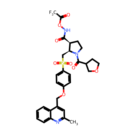 Cc1cc(COc2ccc(S(=O)(=O)C[C@H]3[C@@H](C(=O)NOC(=O)C(F)(F)F)CCN3C(=O)C3CCOC3)cc2)c2ccccc2n1